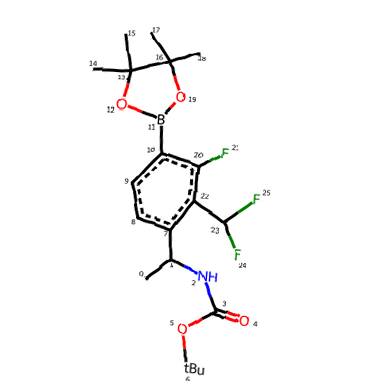 CC(NC(=O)OC(C)(C)C)c1ccc(B2OC(C)(C)C(C)(C)O2)c(F)c1C(F)F